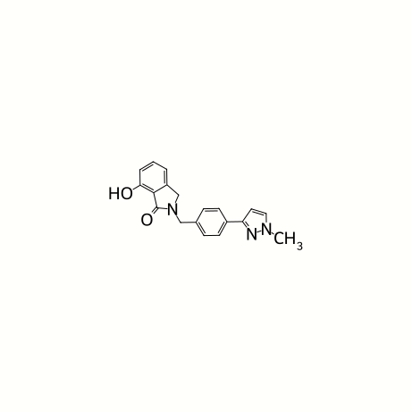 Cn1ccc(-c2ccc(CN3Cc4cccc(O)c4C3=O)cc2)n1